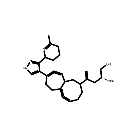 C=C(C[C@H](CO)CCCC)C1CCC=C=C2CCC(c3c[nH]nc3C3CCCC(C)=N3)=C=CC2C1